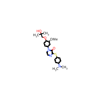 COc1cc(-n2ccnc(Sc3ccc(N(C)C)cc3)c2=O)ccc1OCC(C)(C)O